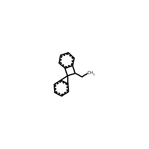 CCC1c2ccccc2C12c1ccccc12